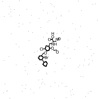 O=CCOc1cc(OCc2cccc(-c3ccccc3)c2Br)c(Cl)cc1CNC(CN=O)C(=O)O